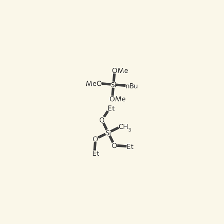 CCCC[Si](OC)(OC)OC.CCO[Si](C)(OCC)OCC